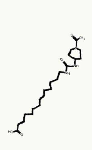 CC(=O)N1CCC(NC(=O)NCCCCCCCCCCCCCC(=O)O)CC1